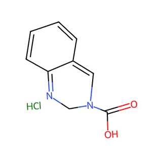 Cl.O=C(O)N1C=c2ccccc2=NC1